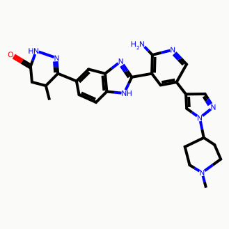 CC1CC(=O)NN=C1c1ccc2[nH]c(-c3cc(-c4cnn(C5CCN(C)CC5)c4)cnc3N)nc2c1